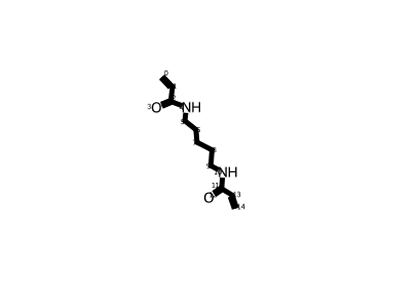 C=CC(=O)NCCCCCNC(=O)C=C